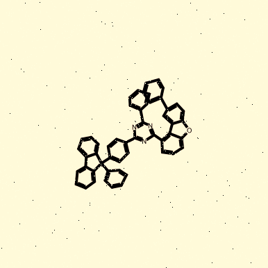 c1ccc(-c2ccc3oc4cccc(-c5nc(-c6ccccc6)nc(-c6ccc(C7(c8ccccc8)c8ccccc8-c8ccccc87)cc6)n5)c4c3c2)cc1